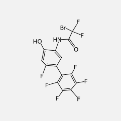 O=C(Nc1cc(-c2c(F)c(F)c(F)c(F)c2F)c(F)cc1O)C(F)(F)Br